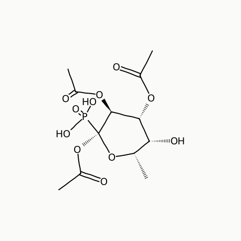 CC(=O)O[C@@H]1[C@H](O)[C@H](C)O[C@@](OC(C)=O)(P(=O)(O)O)[C@H]1OC(C)=O